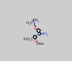 CCOC(=O)c1ccc(-n2cc(N)c3ccc(OCCCN(C)C)cc32)cc1OCOC